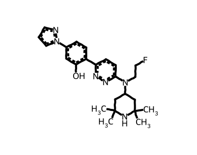 CC1(C)CC(N(CCF)c2ccc(-c3ccc(-n4cccn4)cc3O)nn2)CC(C)(C)N1